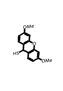 COc1ccc2c(c1)Oc1cc(OC)ccc1C2S